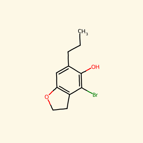 CCCc1cc2c(c(Br)c1O)CCO2